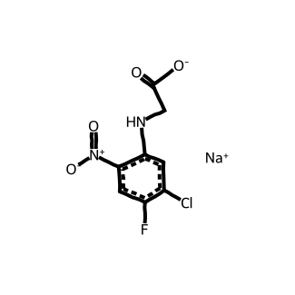 O=C([O-])CNc1cc(Cl)c(F)cc1[N+](=O)[O-].[Na+]